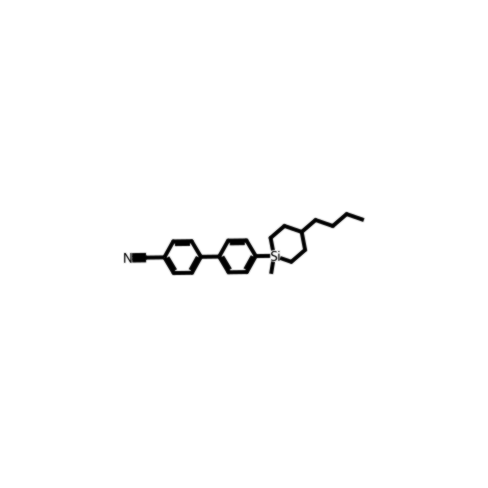 CCCCC1CC[Si](C)(c2ccc(-c3ccc(C#N)cc3)cc2)CC1